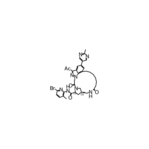 CC(=O)c1nn2c3c(cc(-c4cnc(C)nc4)cc13)CCCCCCC(=O)NC[C@]1(C)C[C@@H](C(=O)Nc3nc(Br)ccc3C)N(C1)C(=O)C2